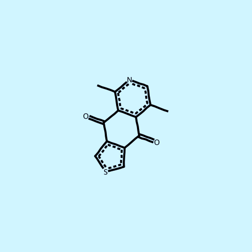 Cc1cnc(C)c2c1C(=O)c1cscc1C2=O